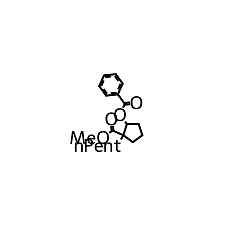 CCCCCC1(C(=O)OC)CCCC1OC(=O)c1ccccc1